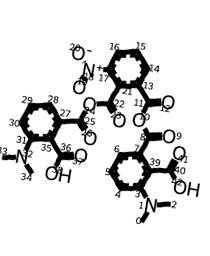 CN(C)c1cccc(C(=O)OC(=O)c2cccc([N+](=O)[O-])c2C(=O)OC(=O)c2cccc(N(C)C)c2C(=O)O)c1C(=O)O